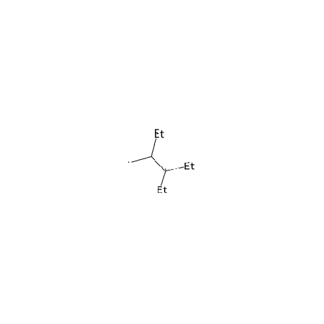 [CH2]C(CC)[C](CC)CC